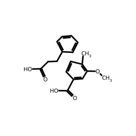 COc1cc(C(=O)O)ccc1C.O=C(O)CCc1ccccc1